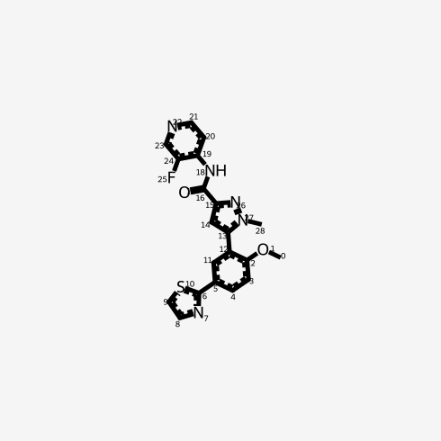 COc1ccc(-c2nccs2)cc1-c1cc(C(=O)Nc2ccncc2F)nn1C